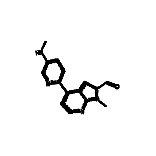 CNc1ccc(-c2ccnc3c2cc(C=O)n3C)nc1